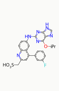 CC(C)Oc1nc(Nc2ccc3nc(CS(=O)(=O)O)cc(-c4cccc(F)c4)c3c2)nc2[nH]cnc12